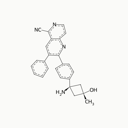 C[C@]1(O)C[C@@](N)(c2ccc(-c3nc4ccnc(C#N)c4cc3-c3ccccc3)cc2)C1